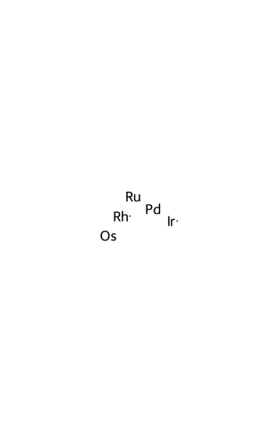 [Ir].[Os].[Pd].[Rh].[Ru]